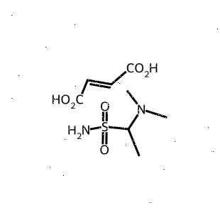 CC(N(C)C)S(N)(=O)=O.O=C(O)C=CC(=O)O